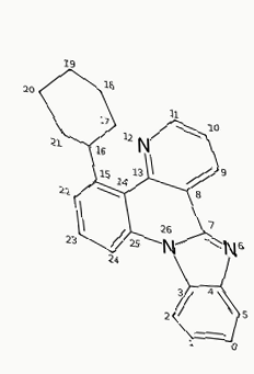 c1ccc2c(c1)nc1c3cccnc3c3c(C4CCCCC4)cccc3n21